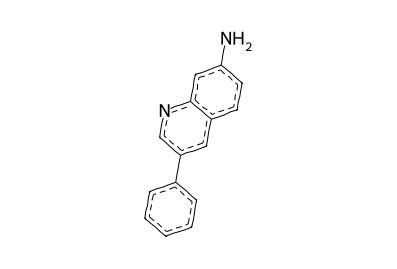 Nc1ccc2cc(-c3ccccc3)cnc2c1